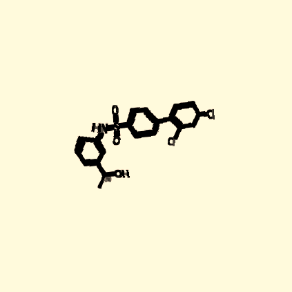 C[C@H](O)c1cccc(NS(=O)(=O)c2ccc(C3=C(Cl)CC(Cl)C=C3)cc2)c1